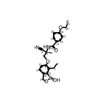 CCc1c(OC[C@](C)(C#N)NC(=O)c2ccc(OCF)cc2)ccc2c1B(O)OC2